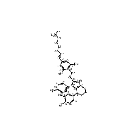 Cc1cc(C2CCCc3nc(SCc4c(F)cc(OCCOCCN(C)C)cc4F)n(-c4ccc(F)cc4)c32)ccc1Cl